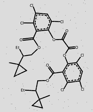 CCC(COC(=O)c1c(Cl)c(Cl)cc(Cl)c1OC(=O)C(=O)Oc1c(Cl)cc(Cl)c(Cl)c1C(=O)OCC(CC)C1(C)CC1)C1(C)CC1